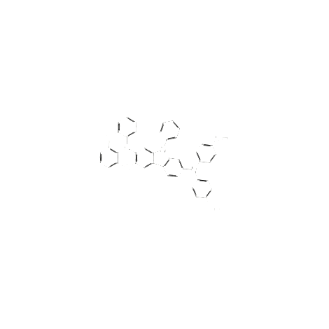 Cc1ccc(N(c2ccc(C)cc2)c2ccc3c4cc5c(cc4n(-c4ccccc4)c3c2)B2c3ccccc3Oc3cccc(c32)O5)cc1